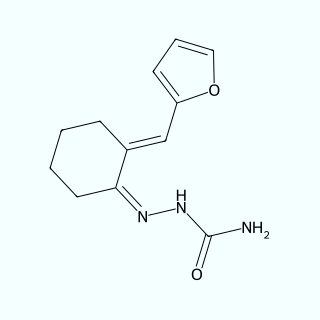 NC(=O)N/N=C1/CCCC/C1=C\c1ccco1